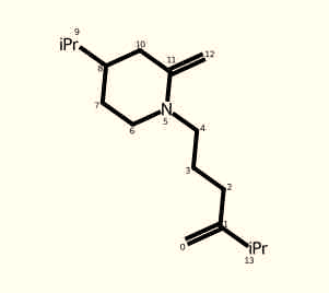 C=C(CCCN1CCC(C(C)C)CC1=C)C(C)C